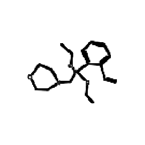 C=Cc1ccccc1[Si](CN1CCOCC1)(OCC)OCC